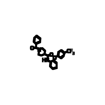 O=C(Nc1ccccc1Oc1ccc(C(F)(F)F)cc1)C1CCN(C(=O)c2ccccc2)CC1